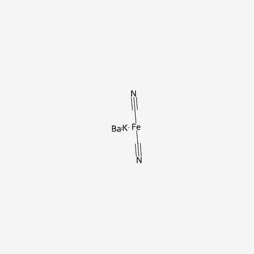 N#[C][Fe][C]#N.[Ba].[K]